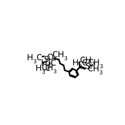 CC/C(=C\[Si](C)(C)C)c1cccc(CCCCC(C)(C)O[Si](CC)(CC)CC)c1